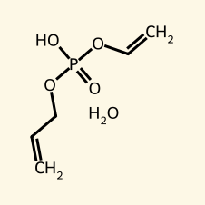 C=CCOP(=O)(O)OC=C.O